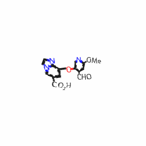 COc1cc(C=O)c(OCc2cc(C(=O)O)cn3ccnc23)cn1